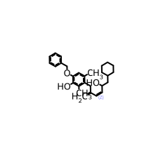 C=C(/C=C\C(O)CC1CCCCC1)Cc1c(C)cc(OCc2ccccc2)c(O)c1C